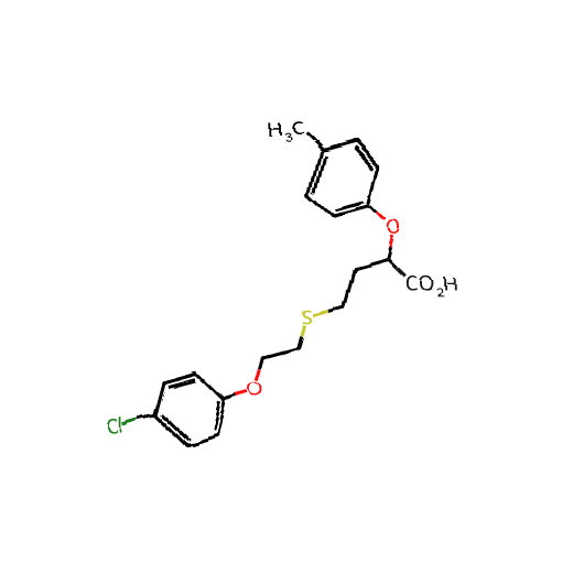 Cc1ccc(OC(CCSCCOc2ccc(Cl)cc2)C(=O)O)cc1